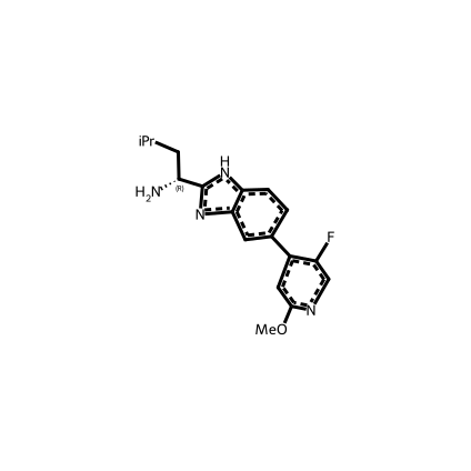 COc1cc(-c2ccc3[nH]c([C@H](N)CC(C)C)nc3c2)c(F)cn1